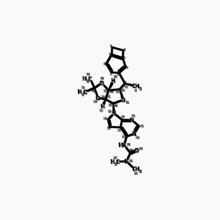 C[C@H](c1ccc2c(c1)CC2)[C@H]1O[C@@H](n2ccc3c(NC(=O)N(C)C)ncnc32)[C@@H]2OC(C)(C)O[C@@H]21